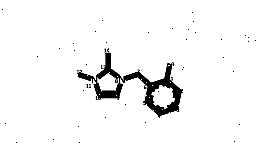 Cc1ccccc1CN1C=CN(C)C1C